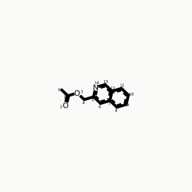 CC(=O)OCc1cc2ccccc2cn1